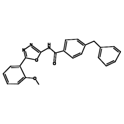 COc1ccccc1-c1nnc(NC(=O)c2ccc(Cc3ccccc3)cc2)o1